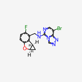 Fc1ccc2c(c1CNc1ncc(Br)c3nncn13)[C@H]1C[C@H]1O2